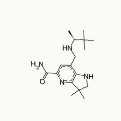 C[C@H](NCc1cc(C(N)=O)nc2c1NCC2(C)C)C(C)(C)C